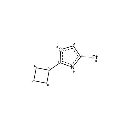 CCc1coc(C2CCC2)n1